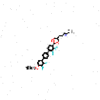 C/C=C/CCC1COC(c2ccc(-c3ccc(-c4ccc(OCCCCCC)c(F)c4F)cc3)c(F)c2F)OC1